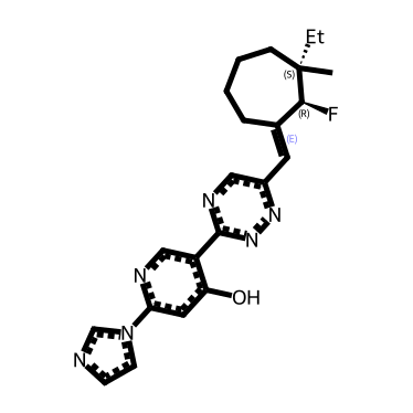 CC[C@@]1(C)CCCC/C(=C\c2cnc(-c3cnc(-n4ccnc4)cc3O)nn2)[C@@H]1F